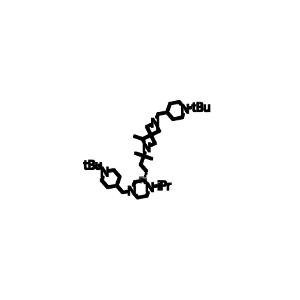 CC(C)N1CCN(CC2CCN(C(C)(C)C)CC2)C[C@@H]1CCC(C)(C)N1CC2(CN(CC3CCN(C(C)(C)C)CC3)C2)C1C